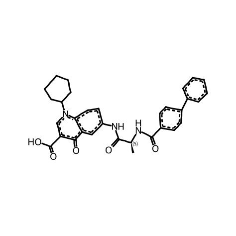 C[C@H](NC(=O)c1ccc(-c2ccccc2)cc1)C(=O)Nc1ccc2c(c1)c(=O)c(C(=O)O)cn2C1CCCCC1